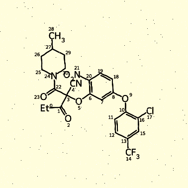 CCC(=O)C(C#N)(Oc1cc(Oc2ccc(C(F)(F)F)cc2Cl)ccc1[N+](=O)[O-])C(=O)N1CCC(C)CC1